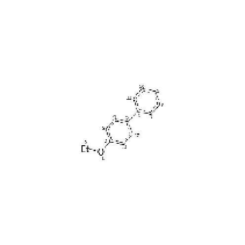 CCOc1ccc(-c2ccccc2)cc1